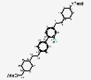 CCCCCC1CCC(CCc2ccc(-c3ccc(CCC4CCC(COC)CC4)cc3)c(F)c2)CC1